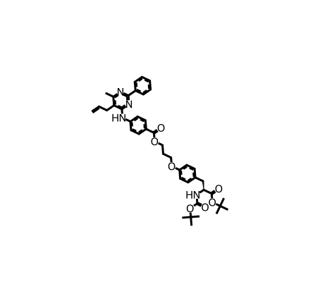 C=CCc1c(C)nc(-c2ccccc2)nc1Nc1ccc(C(=O)OCCCOc2ccc(C[C@H](NC(=O)OC(C)(C)C)C(=O)OC(C)(C)C)cc2)cc1